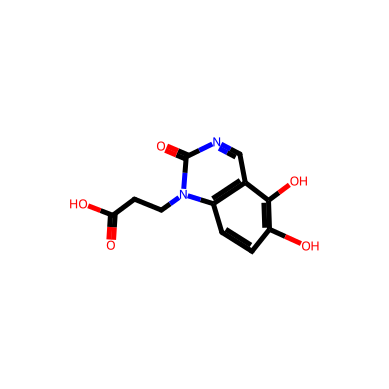 O=C(O)CCn1c(=O)ncc2c(O)c(O)ccc21